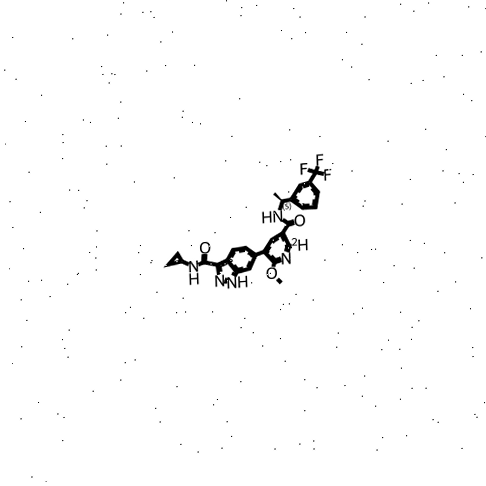 [2H]c1nc(OC)c(-c2ccc3c(C(=O)NC4CC4)n[nH]c3c2)cc1C(=O)N[C@@H](C)c1cccc(C(F)(F)F)c1